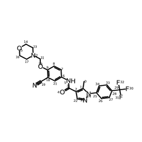 Cc1c(C(=O)Nc2ccc(OCN3CCOCC3)c(C#N)c2)cnn1-c1ccc(C(F)(F)F)cc1